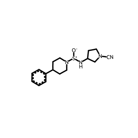 N#CN1CCC(N[S+]([O-])N2CCC(c3ccccc3)CC2)C1